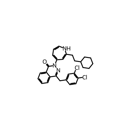 O=c1c2ccccc2c(Cc2ccc(Cl)c(Cl)c2)nn1C1=CC=CNC(CCC2CCCCC2)=C1